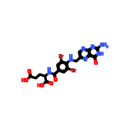 Nc1nc2ncc(CNc3c(Br)cc(C(=O)NC(CCC(=O)O)C(=O)O)cc3Br)nc2c(=O)[nH]1